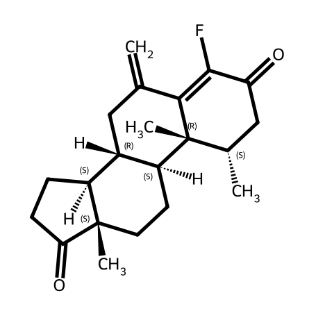 C=C1C[C@@H]2[C@H](CC[C@]3(C)C(=O)CC[C@@H]23)[C@]2(C)C1=C(F)C(=O)C[C@@H]2C